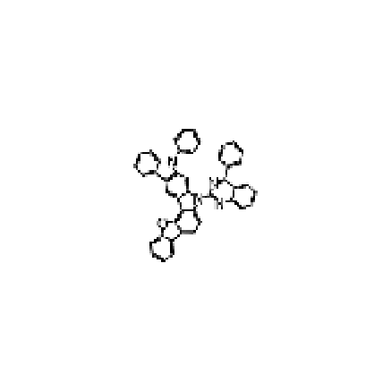 c1ccc(-c2nc(-n3c4cc5c(cc4c4c6oc7ccccc7c6ccc43)c3ccccc3n5-c3ccccc3)nc3ccccc23)cc1